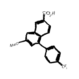 COc1cc(-c2ccc(C(F)(F)F)cc2)c2ccc(C(=O)O)cc2c1